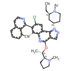 CC(=O)N1CC[C@H](n2ncc3c(O[C@@H](C)[C@@H]4CCCN4C)nc4c(F)c(-c5nccc6cccc(C#N)c56)c(Cl)cc4c32)C[C@H]1CC#N